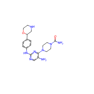 NC(=O)N1CCN(c2nc(Nc3ccc(C4CNCCO4)cc3)ncc2N)CC1